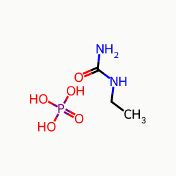 CCNC(N)=O.O=P(O)(O)O